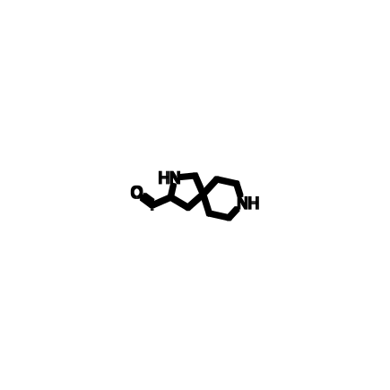 O=[C]C1CC2(CCNCC2)CN1